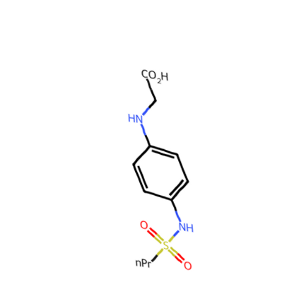 CCCS(=O)(=O)Nc1ccc(NCC(=O)O)cc1